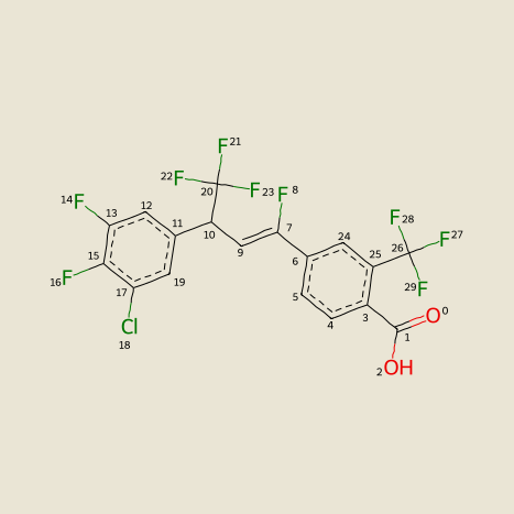 O=C(O)c1ccc(/C(F)=C/C(c2cc(F)c(F)c(Cl)c2)C(F)(F)F)cc1C(F)(F)F